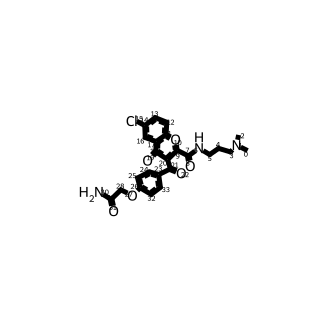 CN(C)CCCNC(=O)c1oc2ccc(Cl)cc2c(=O)c1C(=O)c1ccc(OCC(N)=O)cc1